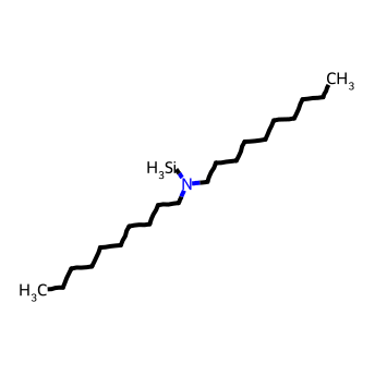 CCCCCCCCCCN([SiH3])CCCCCCCCCC